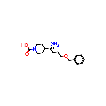 N[C@H](CCCOCc1ccccc1)C1CCN(C(=O)O)CC1